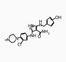 CN1CCN(c2ccc(Nc3n[nH]c(NCc4ccc(O)cc4)c3C(N)=O)cc2Cl)CC1